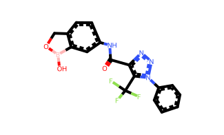 O=C(Nc1ccc2c(c1)B(O)OC2)c1nnn(-c2ccccc2)c1C(F)(F)F